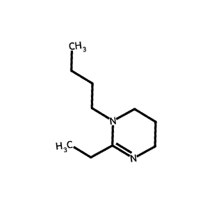 CCCCN1CCCN=C1CC